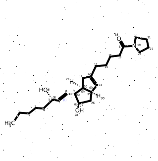 CCCCC[C@H](O)/C=C/[C@@H]1[C@H]2CC(CCCCC(=O)N3CCCC3)=C[C@H]2C[C@H]1O